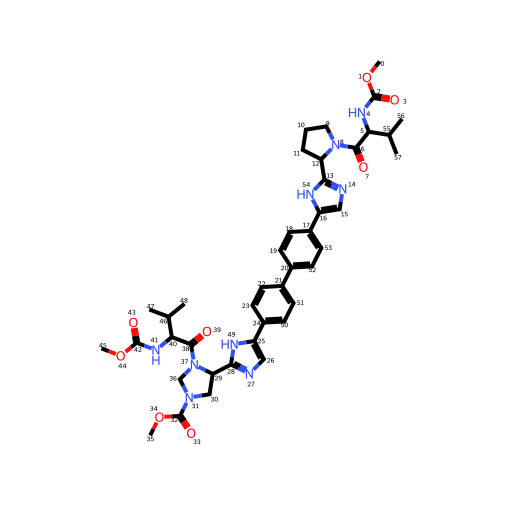 COC(=O)NC(C(=O)N1CCCC1c1ncc(-c2ccc(-c3ccc(-c4cnc(C5CN(C(=O)OC)CN5C(=O)C(NC(=O)OC)C(C)C)[nH]4)cc3)cc2)[nH]1)C(C)C